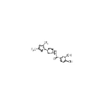 O=C(Nc1ccc(-n2nc(C(F)(F)F)cc2C(F)(F)F)cc1)c1ccc(O)c(O)c1